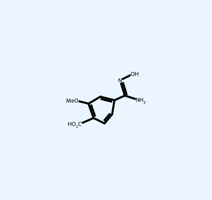 COc1cc(C(N)=NO)ccc1C(=O)O